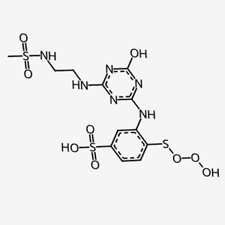 CS(=O)(=O)NCCNc1nc(O)nc(Nc2cc(S(=O)(=O)O)ccc2SOOO)n1